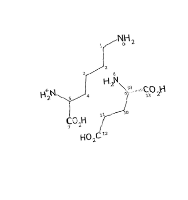 NCCCCC(N)C(=O)O.N[C@@H](CCC(=O)O)C(=O)O